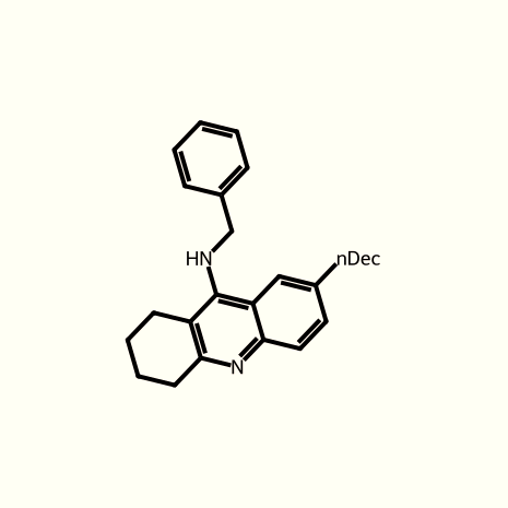 CCCCCCCCCCc1ccc2nc3c(c(NCc4ccccc4)c2c1)CCCC3